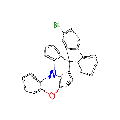 Brc1ccc2c(c1)C1(c3ccccc3-2)c2ccccc2N2c3ccccc3Oc3cccc1c32